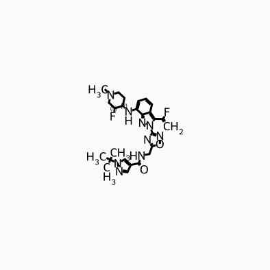 C=C(F)c1c2cccc(N[C@@H]3CCN(C)C[C@@H]3F)c2nn1-c1noc(CNC(=O)c2cnn(C(C)(C)C)c2)n1